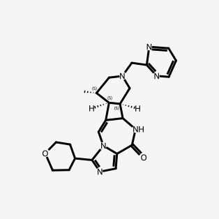 C[C@@H]1CN(Cc2ncccn2)C[C@H]2C3NC(=O)c4cnc(C5CCOCC5)n4C=C3[C@@H]12